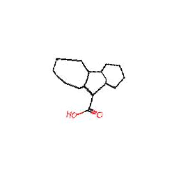 O=C(O)C1C2CCCCC2C2CCCCC21